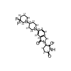 O=C1CCC(N2Cc3ccc(N4CCC(N5CCCC(F)(F)C5)CC4)cc3C2=O)C(=O)N1